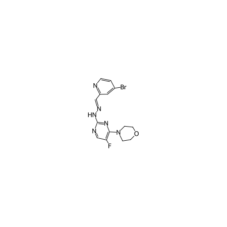 Fc1cnc(N/N=C/c2cc(Br)ccn2)nc1N1CCOCC1